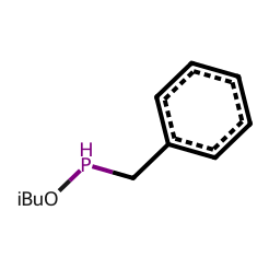 CC(C)COPCc1ccccc1